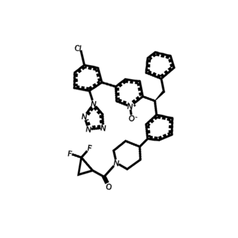 O=C(C1CC1(F)F)N1CCC(c2cccc([C@H](Cc3ccccc3)c3ccc(-c4cc(Cl)ccc4-n4cnnn4)c[n+]3[O-])c2)CC1